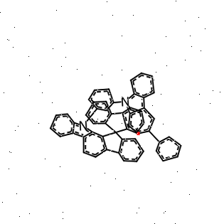 c1ccc(-c2ccc3c(c2)c2ccccc2n3-c2cccc(-n3c4ccccc4c4ccc5c(c43)C3(c4ccccc4-c4ccccc43)c3ccccc3-5)c2)cc1